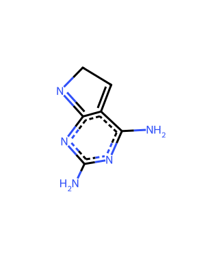 Nc1nc(N)c2c(n1)=NCC=2